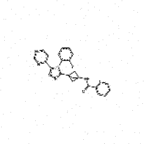 O=C(NC12CC(c3nnc(-c4ccncn4)n3-c3ccccc3Cl)(C1)C2)c1ccccn1